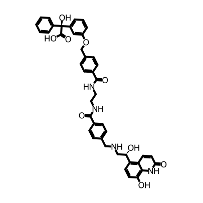 O=C(NCCNC(=O)c1ccc(COc2cccc([C@](O)(C(=O)O)c3ccccc3)c2)cc1)c1ccc(CNC[C@H](O)c2ccc(O)c3[nH]c(=O)ccc23)cc1